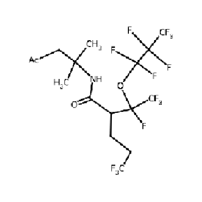 CC(=O)CC(C)(C)NC(=O)C(CCC(F)(F)F)C(F)(OC(F)(F)C(F)(F)C(F)(F)F)C(F)(F)F